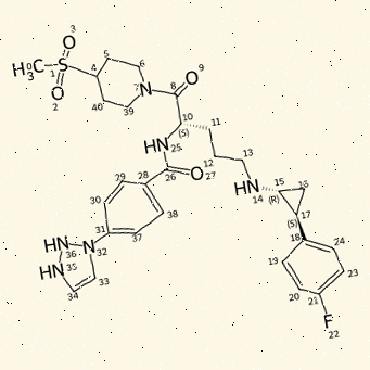 CS(=O)(=O)C1CCN(C(=O)[C@H](CCCN[C@@H]2C[C@H]2c2ccc(F)cc2)NC(=O)c2ccc(N3C=CNN3)cc2)CC1